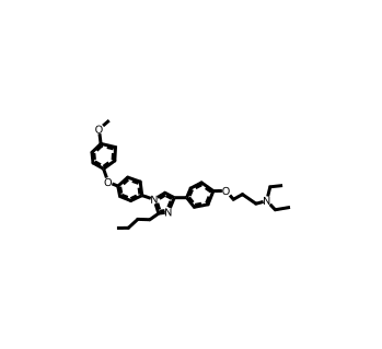 CCCCc1nc(-c2ccc(OCCCN(CC)CC)cc2)cn1-c1ccc(Oc2ccc(OC)cc2)cc1